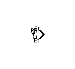 [CH2-]CCC[CH2-].[O]=[Rh]